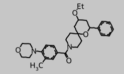 CCOC1CC(c2ccccc2)OC2(CCN(C(=O)c3ccc(N4CCOCC4)c(C)c3)CC2)C1